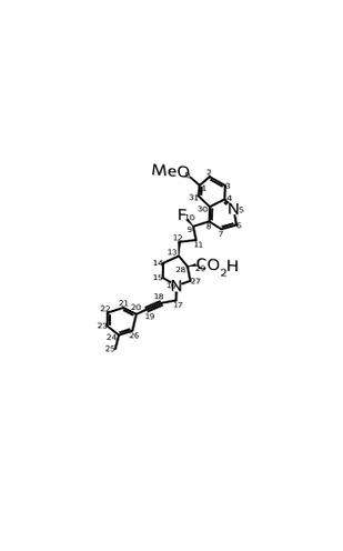 COc1ccc2nccc([C@H](F)CC[C@@H]3CCN(CC#Cc4cccc(C)c4)C[C@@H]3C(=O)O)c2c1